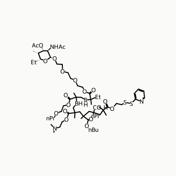 CCCCOC(=O)C(C)(CC(C)(CBC(C)(CBC(C)(CC)C(=O)OCCOCCOCCO[C@@H]1O[C@H](CC)[C@H](C)[C@H](OC(C)=O)[C@H]1NC(C)=O)C(=O)OCCOCCC)C(=O)OCCN(C)C)CC(CCC)(CC(C)(C)C(=O)OCCSSc1ccccn1)C(=O)O